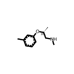 CNC[C@@H](C)Oc1cccc(C)c1